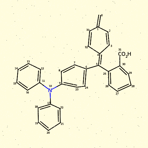 C=c1ccc(=C(c2ccc(N(c3ccccc3)c3ccccc3)cc2)c2ccccc2C(=O)O)cc1